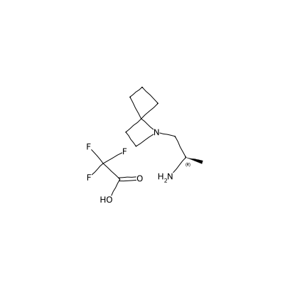 C[C@@H](N)CN1CCC12CCC2.O=C(O)C(F)(F)F